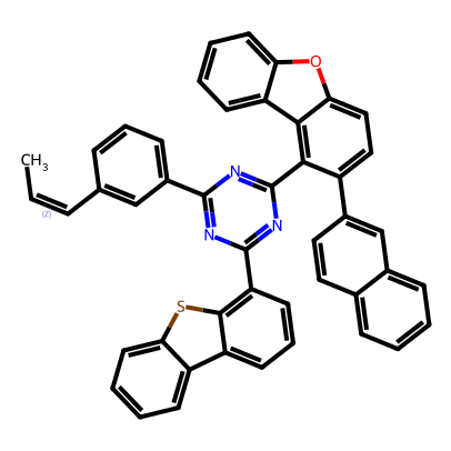 C/C=C\c1cccc(-c2nc(-c3cccc4c3sc3ccccc34)nc(-c3c(-c4ccc5ccccc5c4)ccc4oc5ccccc5c34)n2)c1